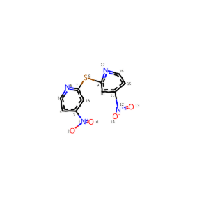 O=[N+]([O-])c1ccnc(Sc2cc([N+](=O)[O-])ccn2)c1